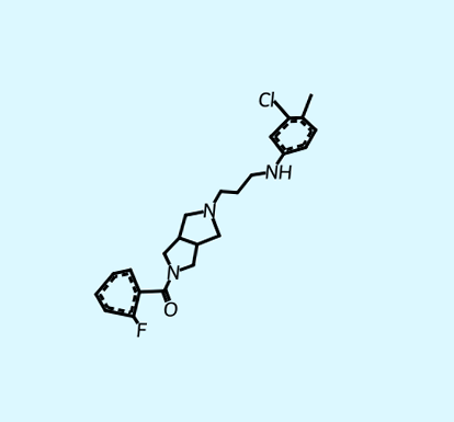 Cc1ccc(NCCCN2CC3CN(C(=O)c4ccccc4F)CC3C2)cc1Cl